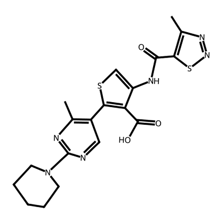 Cc1nc(N2CCCCC2)ncc1-c1scc(NC(=O)c2snnc2C)c1C(=O)O